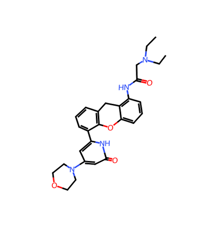 CCN(CC)CC(=O)Nc1cccc2c1Cc1cccc(-c3cc(N4CCOCC4)cc(=O)[nH]3)c1O2